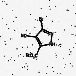 CCOC(=O)c1[nH]nc(Br)c1C#N